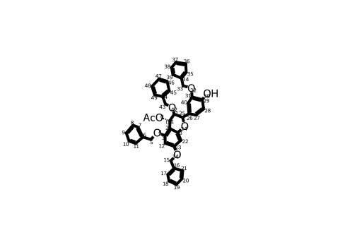 CC(=O)O[C@H]1c2c(OCc3ccccc3)cc(OCc3ccccc3)cc2OC(c2ccc(O)c(OCc3ccccc3)c2)C1OCc1ccccc1